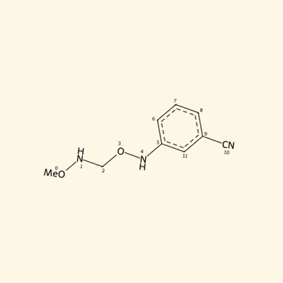 CONCONc1cccc(C#N)c1